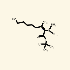 CN(N)/C(C(=O)OC(C)(C)C)=C(\N)CCCCCO